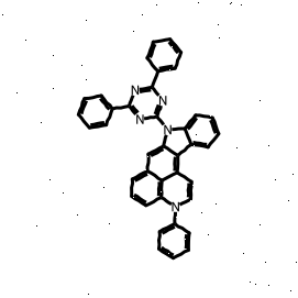 C1=CN(c2ccccc2)c2cccc3cc4c(c1c23)c1ccccc1n4-c1nc(-c2ccccc2)nc(-c2ccccc2)n1